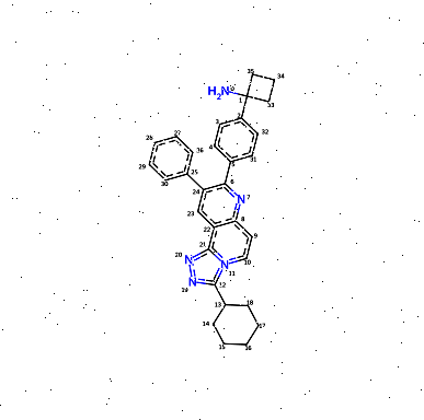 NC1(c2ccc(-c3nc4ccn5c(C6CCCCC6)nnc5c4cc3-c3ccccc3)cc2)CCC1